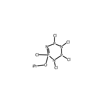 CC(C)OP1(Cl)=NP(Cl)N(Cl)P(Cl)N1Cl